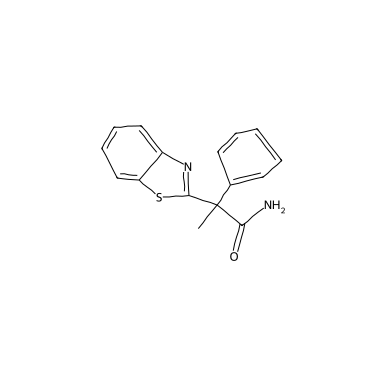 CC(C(N)=O)(c1ccccc1)c1nc2ccccc2s1